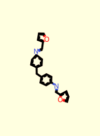 C(=Nc1ccc(Cc2ccc(N=Cc3ccco3)cc2)cc1)c1ccco1